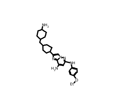 CCOc1ccc(Nc2cc(N)c3nc(C4CCC(CC5CCC(N)CC5)CC4)cn3n2)cc1